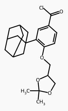 CC1(C)OCC(COc2ccc(C(=O)Cl)cc2C23CC4CC(CC(C4)C2)C3)O1